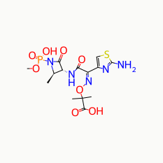 COP(=O)(O)N1C(=O)[C@H](NC(=O)/C(=N\OC(C)(C)C(=O)O)c2csc(N)n2)[C@H]1C